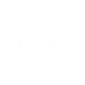 CCC1(C)CC2C=CC1N(CCc1c(-c3ccccc3)[nH]c3ccccc13)C2